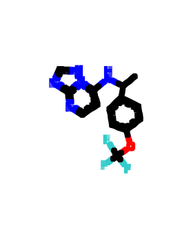 CC(Nc1ccnc2ncnn12)c1ccc(OC(F)(F)F)cc1